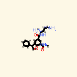 CNC(=O)c1cc(C(=O)N/C(N)=C/C=C\N)cc2c1OCC2c1ccccc1